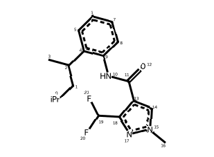 CC(C)CC(C)c1ccccc1NC(=O)c1cn(C)nc1C(F)F